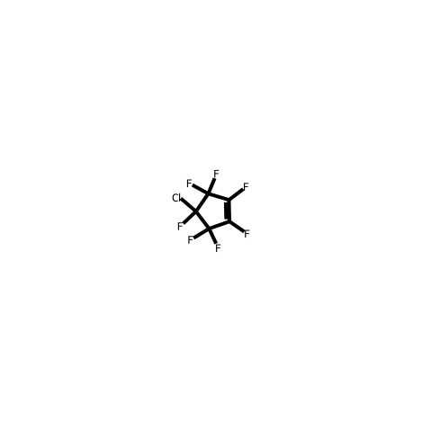 FC1=C(F)C(F)(F)C(F)(Cl)C1(F)F